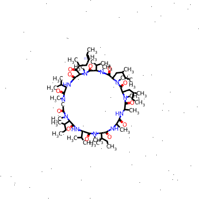 C/C=C/CC(C)C(=O)C1C(=O)NC(C(C)C)C(=O)N(C)CC(=O)N(C)C(C(C)CC)C(=O)NC(C(C)C)C(=O)N(C)C(C(C)CC)C(=O)NC(C)C(=O)NC(C)C(=O)N(C)C(CC(C)CC)C(=O)N(C)C(CC(C)CC)C(=O)N(C)C(C(C)C)C(=O)N1C